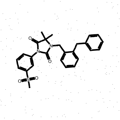 CC1(C)C(=O)N(c2cccc(S(C)(=O)=O)c2)C(=O)N1Cc1ccccc1Cc1ccccc1